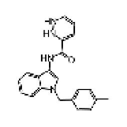 Cc1ccc(Cn2cc(NC(=O)C3=CC=CNN3)c3ccccc32)cc1